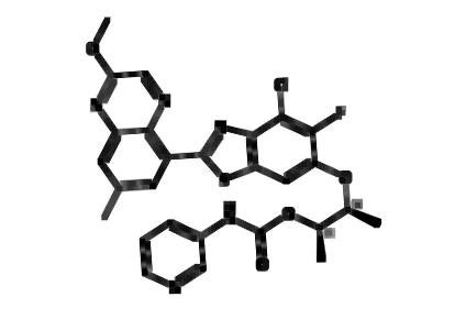 COc1cnc2c(-c3nc4c(Cl)c(F)c(O[C@@H](C)[C@@H](C)OC(=O)Nc5cccnc5)cc4s3)cc(C)cc2n1